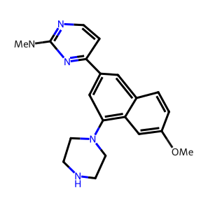 CNc1nccc(-c2cc(N3CCNCC3)c3cc(OC)ccc3c2)n1